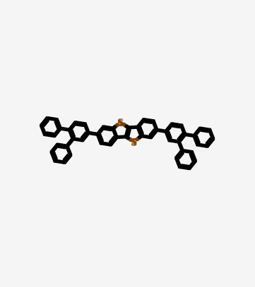 c1ccc(-c2ccc(-c3ccc4c(c3)sc3c5ccc(-c6ccc(-c7ccccc7)c(-c7ccccc7)c6)cc5sc43)cc2-c2ccccc2)cc1